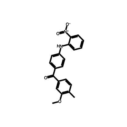 COc1cc(C(=O)c2ccc(Nc3ccccc3[N+](=O)[O-])cc2)ccc1C